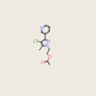 CC(=O)OCCn1nc(-c2cccnc2)c(Cl)c1C